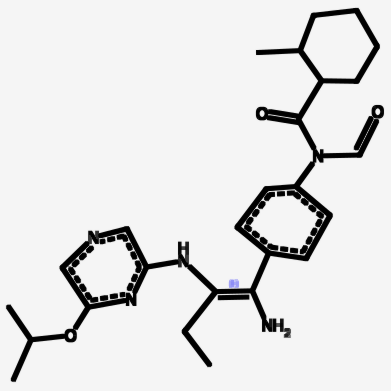 CC/C(Nc1cncc(OC(C)C)n1)=C(\N)c1ccc(N(C=O)C(=O)C2CCCCC2C)cc1